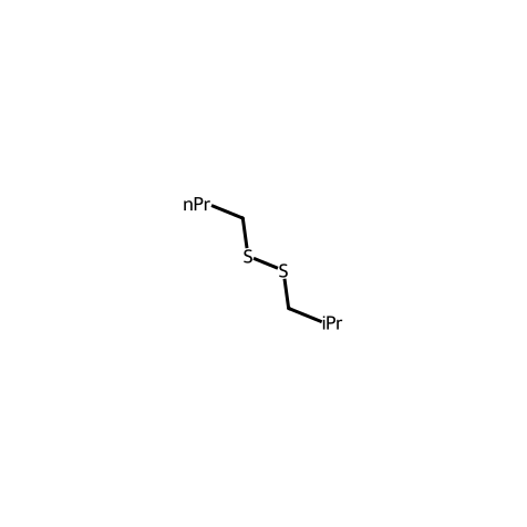 CCCCSSCC(C)C